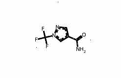 NC(=O)c1cnn(C(F)(F)F)c1